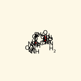 Nc1ccnc2c1ncn2[C@@H]1O[C@@]23CO[C@@H]1[C@@H]2OP(=O)(S)OC[C@H]1O[C@@H](n2cnc4c(=O)n5cc[nH]c5nc42)[C@H](OP(=O)(S)OC3)[C@@H]1F